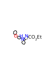 CCOC(=O)C(N)Cc1cn(-c2ccc(Oc3ccccc3)cc2)c2ccccc12